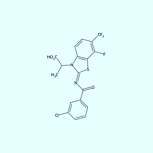 CC(C(=O)O)n1c(=NC(=O)c2cccc(Cl)c2)sc2c(F)c(C(F)(F)F)ccc21